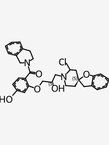 O=C(c1ccc(O)cc1OC[C@@H](O)CN1CC[C@@]2(Cc3ccccc3O2)CC1Cl)N1CCc2ccccc2C1